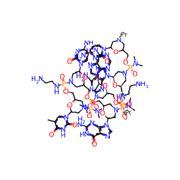 Cc1cn(C2CN(P(=O)(OCC3CN(P(=O)(OCC4CN(P(=O)(OCC5CN(C(C)C)CC(n6ccc(N)nc6=O)O5)N(C)C)CC(n5cnc6c(N)ncnc65)O4)N(C)C)CC(n4cnc5c(=O)[nH]c(N)nc54)O3)N(C)C)CC(COP(=O)(NCCN)N3CC(COP(=O)(N(C)C)N4CC(COP(=O)(NCCN)C(C)C)OC(n5cnc6c(N)ncnc65)C4)OC(n4ccc(N)nc4=O)C3)O2)c(=O)[nH]c1=O